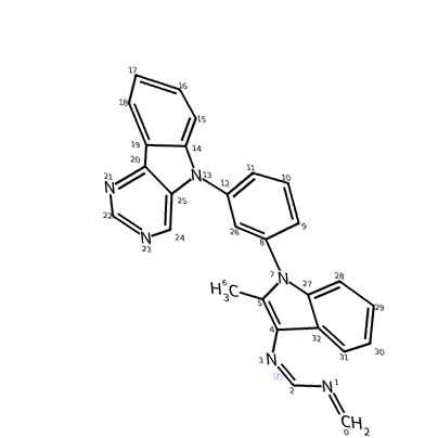 C=N/C=N\c1c(C)n(-c2cccc(-n3c4ccccc4c4ncncc43)c2)c2ccccc12